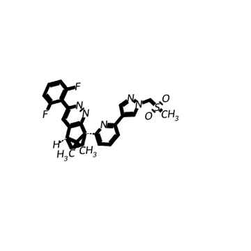 CC1(C)[C@H]2CC[C@]1(c1cccc(-c3cnn(CS(C)(=O)=O)c3)n1)c1nnc(-c3c(F)cccc3F)cc12